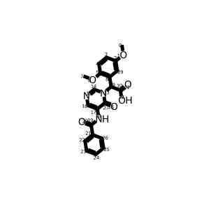 COc1ccc(OC)c(C(C(=O)O)n2cncc(NC(=O)c3ccccc3)c2=O)c1